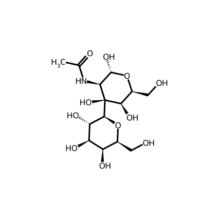 CC(=O)N[C@H]1[C@H](O)O[C@@H](CO)[C@@H](O)[C@]1(O)[C@H]1O[C@@H](CO)[C@@H](O)[C@@H](O)[C@@H]1O